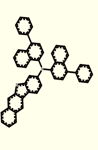 c1ccc(-c2ccc(N(c3ccc4c(c3)sc3cc5ccccc5cc34)c3ccc(-c4ccccc4)c4ccccc34)c3ccccc23)cc1